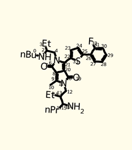 CCCCNC(CC)CN1C(=O)C2=C(C)N(CC(CC)C(N)CCC)C(=O)C2=C1c1ccc(-c2ccccc2F)s1